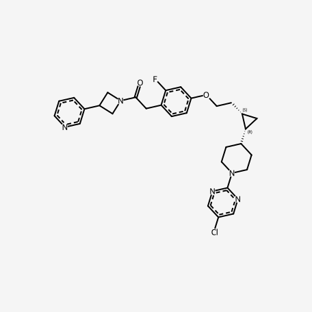 O=C(Cc1ccc(OCC[C@@H]2C[C@@H]2C2CCN(c3ncc(Cl)cn3)CC2)cc1F)N1CC(c2cccnc2)C1